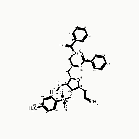 C=CC[C@@H]1O[C@H](C[C@@H](COC(=O)c2ccccc2)OC(=O)c2ccccc2)[C@H](OC)[C@H]1CS(=O)(=O)c1ccc(C)cc1